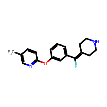 FC(=C1CCNCC1)c1cccc(Oc2ccc(C(F)(F)F)cn2)c1